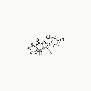 N#Cc1c(-c2ccc(Cl)cc2Cl)nn2c(=O)c3ccccc3[nH]c12